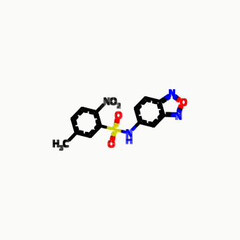 Cc1ccc([N+](=O)[O-])c(S(=O)(=O)Nc2ccc3nonc3c2)c1